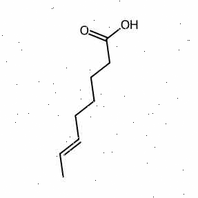 CC=CCCCCC(=O)O